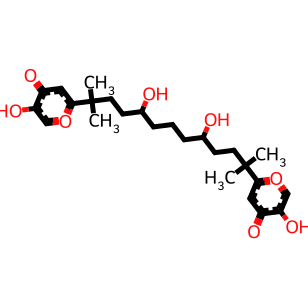 CC(C)(CCC(O)CCCC(O)CCC(C)(C)c1cc(=O)c(O)co1)c1cc(=O)c(O)co1